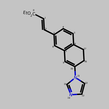 CCOC(=O)C=Cc1ccc2c(c1)C=C(n1ccnc1)CC2